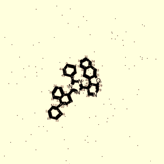 c1ccc(-c2nc(-c3ccc(-c4ccccc4)c4ccccc34)nc(-c3cncc4oc5cc6ccccc6cc5c34)n2)cc1